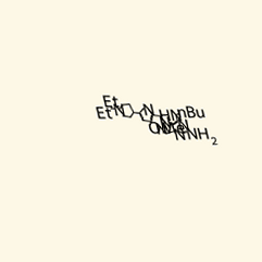 CCCCNc1nc(N)nc2cnn(Cc3ncc(C4CCN(C(CC)CC)CC4)cc3OC)c12